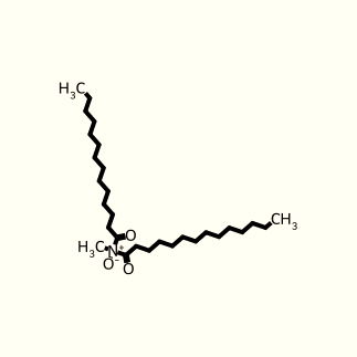 CCCCCCCCCCCCCC(=O)[N+](C)([O-])C(=O)CCCCCCCCCCCCC